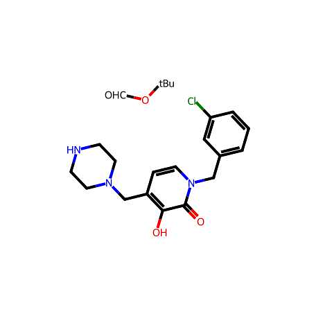 CC(C)(C)OC=O.O=c1c(O)c(CN2CCNCC2)ccn1Cc1cccc(Cl)c1